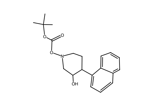 CC(C)(C)OC(=O)ON1CCC(c2cccc3ccccc23)C(O)C1